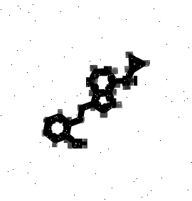 Oc1ccccc1CCc1csc2c(NC3CC3)ncnc12